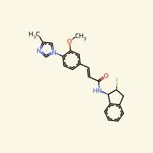 COc1cc(C=CC(=O)N[C@@H]2c3ccccc3C[C@@H]2F)ccc1-n1cnc(C)c1